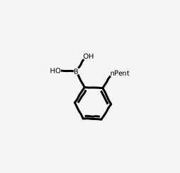 CCCCCc1ccccc1B(O)O